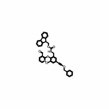 O=Cc1cccnc1Sc1c(Cl)cc(C#COCc2ccccc2)cc1CNC(=O)OCC1c2ccccc2-c2ccccc21